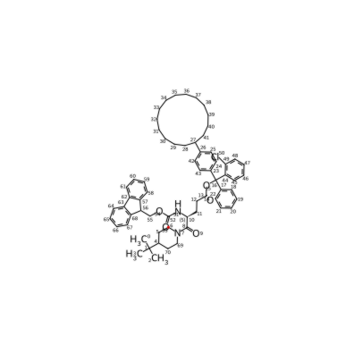 CC(C)(C)C1CCN(C(=O)[C@H](CCC(=O)OC(c2ccccc2)(c2ccc(C3CCCCCCCCCCCCCC3)cc2)c2ccccc2Cl)NC(=O)OCC2c3ccccc3-c3ccccc32)CC1